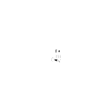 [Fe].[KH].[O]=[V]